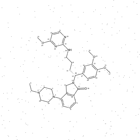 CCN1CCN(c2cccc3c2CN([C@H](CCCNc2nccc(OC)n2)c2ccc(OC)c(OC)c2)C3=O)CC1